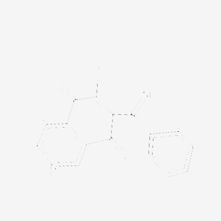 N=C(C1=C(O)C(=O)c2ccncc2C1=O)c1ccccc1